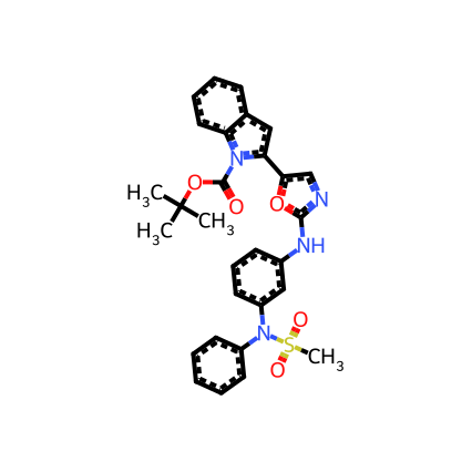 CC(C)(C)OC(=O)n1c(-c2cnc(Nc3cccc(N(c4ccccc4)S(C)(=O)=O)c3)o2)cc2ccccc21